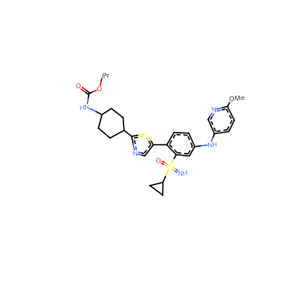 COc1ccc(Nc2ccc(-c3cnc(C4CCC(NC(=O)OC(C)C)CC4)s3)c(S(=N)(=O)C3CC3)c2)cn1